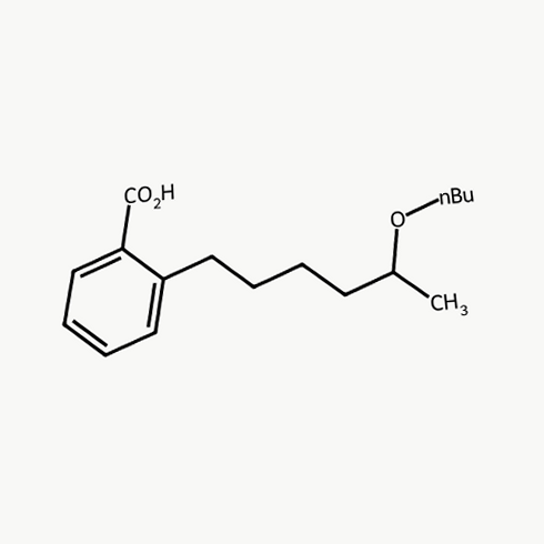 CCCCOC(C)CCCCc1ccccc1C(=O)O